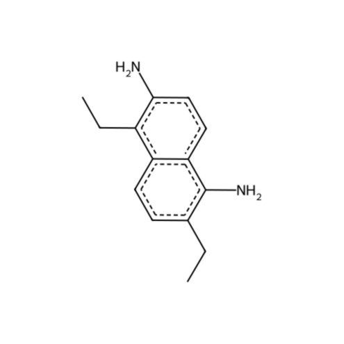 CCc1ccc2c(CC)c(N)ccc2c1N